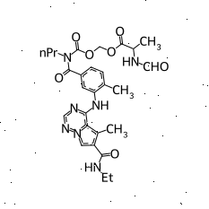 CCCN(C(=O)OCOC(=O)C(C)NC=O)C(=O)c1ccc(C)c(Nc2ncnn3cc(C(=O)NCC)c(C)c23)c1